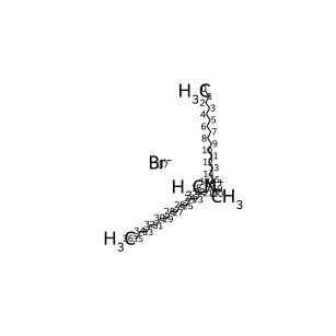 CCCCCCCCCCCCCCCC[N+](CC)(CC)CCCCCCCCCCCCCCCC.[Br-]